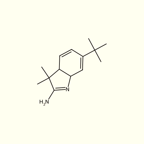 CC(C)(C)C1=CC2N=C(N)C(C)(C)C2C=C1